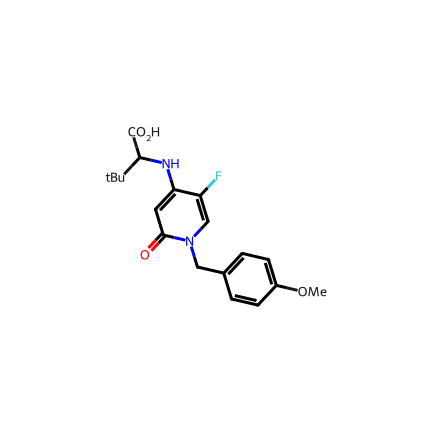 COc1ccc(Cn2cc(F)c(NC(C(=O)O)C(C)(C)C)cc2=O)cc1